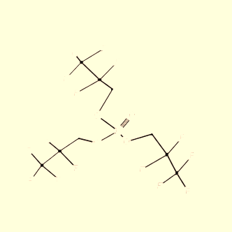 O=P(OCC(F)(F)C(F)(F)F)(OCC(F)(F)C(F)(F)F)OCC(F)(F)C(F)(F)F